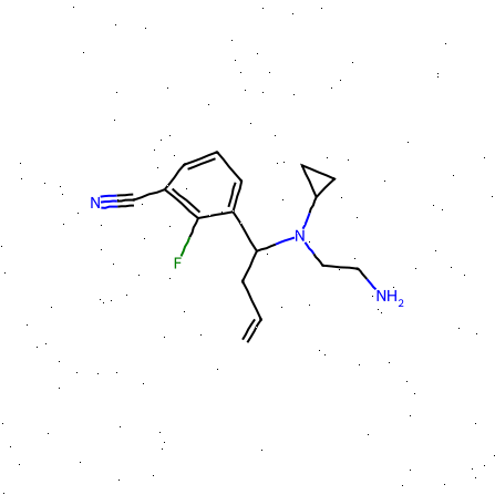 C=CCC(c1cccc(C#N)c1F)N(CCN)C1CC1